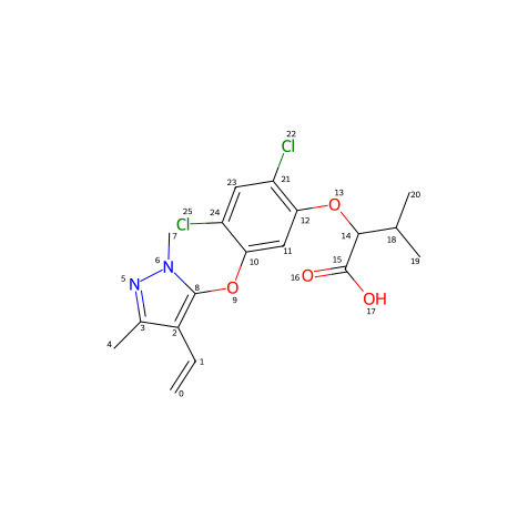 C=Cc1c(C)nn(C)c1Oc1cc(OC(C(=O)O)C(C)C)c(Cl)cc1Cl